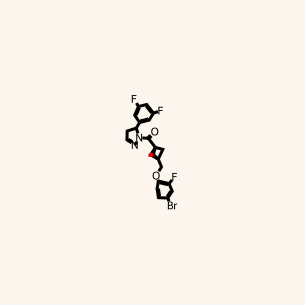 O=C(N1N=CCC1c1cc(F)cc(F)c1)C12CC(COc3ccc(Br)cc3F)(C1)C2